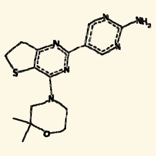 CC1(C)CN(c2nc(-c3cnc(N)nc3)nc3c2SCC3)CCO1